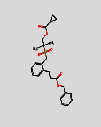 CC(C)(COC(=O)C1CC1)S(=O)(=O)Cc1ccccc1CCC(=O)OCc1ccccc1